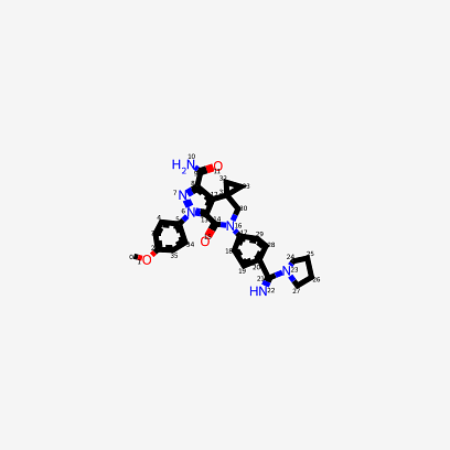 COc1ccc(-n2nc(C(N)=O)c3c2C(=O)N(c2ccc(C(=N)N4CCCC4)cc2)CC32CC2)cc1